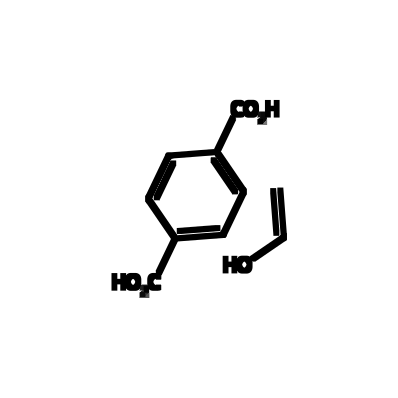 C=CO.O=C(O)c1ccc(C(=O)O)cc1